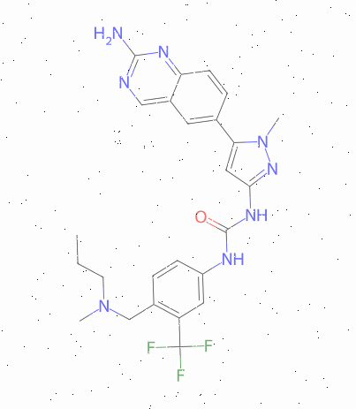 CCCN(C)Cc1ccc(NC(=O)Nc2cc(-c3ccc4nc(N)ncc4c3)n(C)n2)cc1C(F)(F)F